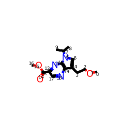 COCCc1cn(C(C)C)c2nc(C(=O)OC)cnc12